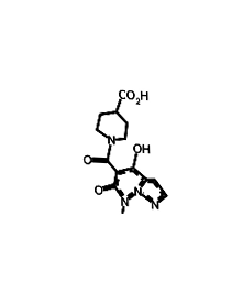 Cn1c(=O)c(C(=O)N2CCC(C(=O)O)CC2)c(O)c2ccnn21